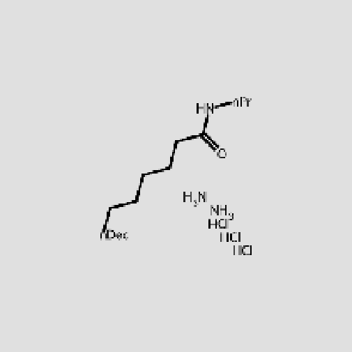 CCCCCCCCCCCCCCCC(=O)NCCC.Cl.Cl.Cl.N.N